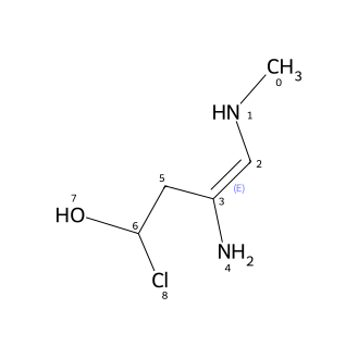 CN/C=C(/N)CC(O)Cl